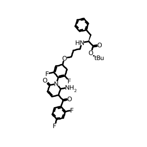 CC(C)(C)OC(=O)[C@H](Cc1ccccc1)NCCCOC1C=C(F)C(N2C(=O)C=CC(C(=O)c3ccc(F)cc3F)C2N)=C(F)C1